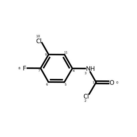 O=C(Cl)Nc1ccc(F)c(Cl)c1